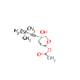 CC(=O)O[C@@H]1C=C[C@@](O)(C#C[Si](C)(C)C)CO1